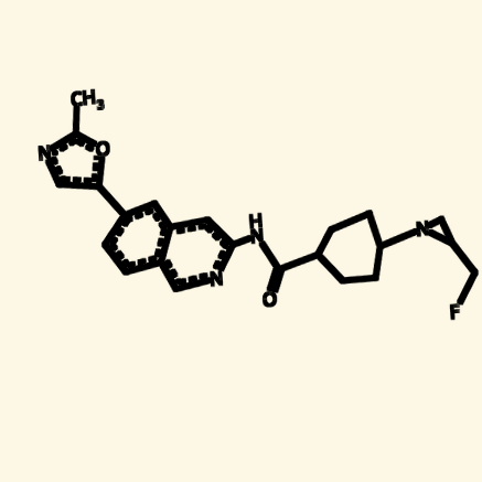 Cc1ncc(-c2ccc3cnc(NC(=O)C4CCC(N5CC5CF)CC4)cc3c2)o1